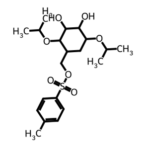 Cc1ccc(S(=O)(=O)OCC2CC(OC(C)C)C(O)C(O)C2OC(C)C)cc1